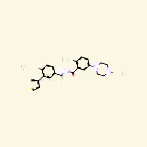 COc1ccc([C@@H](C)NC(=O)c2cc(N3CCN(C)CC3)ccc2C)cc1-c1ccsc1